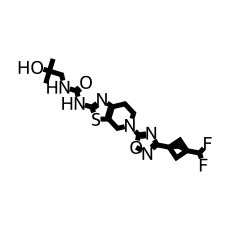 CC(C)(O)CNC(=O)Nc1nc2c(s1)CN(c1nc(C34CC(C(F)F)(C3)C4)no1)CC2